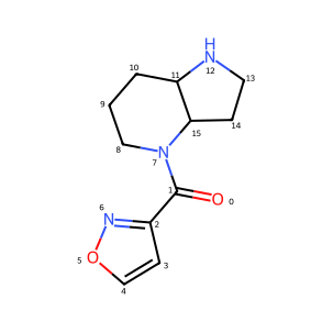 O=C(c1ccon1)N1CCCC2NCCC21